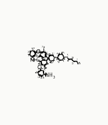 CCCCCC[C@H]1CC[C@@H](C2CCC(c3cc(C)c(Oc4cccc(N)c4)c(C)c3)(c3cc(C)c(Oc4cccc(N)c4)c(C)c3)CC2)CC1